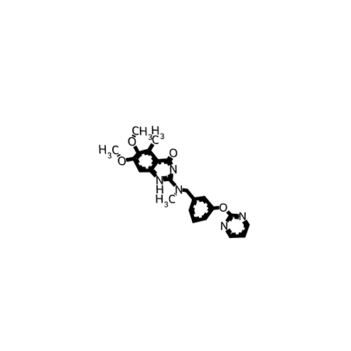 COc1cc2[nH]c(N(C)Cc3cccc(Oc4ncccn4)c3)nc(=O)c2c(C)c1OC